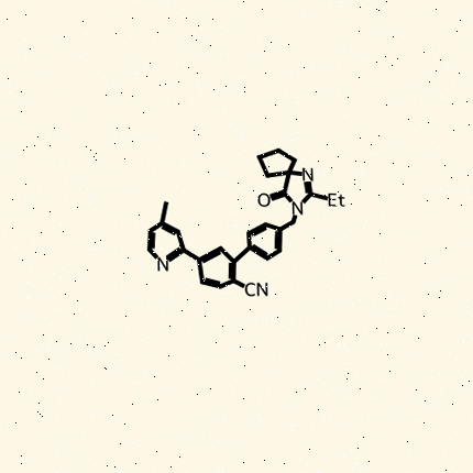 CCC1=NC2(CCCC2)C(=O)N1Cc1ccc(-c2cc(-c3cc(C)ccn3)ccc2C#N)cc1